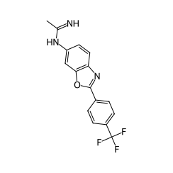 CC(=N)Nc1ccc2nc(-c3ccc(C(F)(F)F)cc3)oc2c1